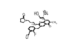 Cc1cn([C@H](CO)C(C)(C)C)c2nc(NCCCN3CCCC3=O)c(Cc3cccc(Cl)c3F)cc2c1=O